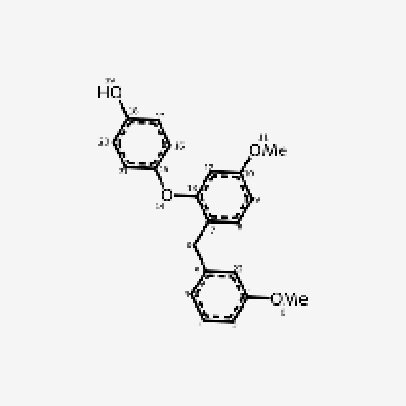 COc1cccc(Cc2ccc(OC)cc2Oc2ccc(O)cc2)c1